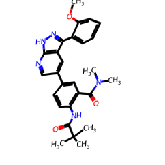 COc1ccccc1-c1n[nH]c2ncc(-c3ccc(NC(=O)C(C)(C)C)c(C(=O)N(C)C)c3)cc12